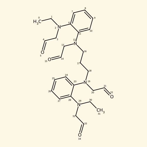 CCN(CC=O)c1ccccc1N(CC=O)CCCN(CC=O)c1ccccc1N(CC)CC=O